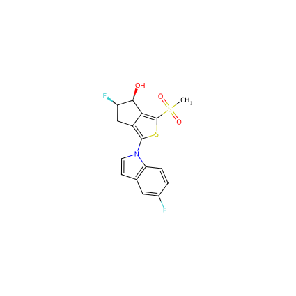 CS(=O)(=O)c1sc(-n2ccc3cc(F)ccc32)c2c1[C@H](O)[C@H](F)C2